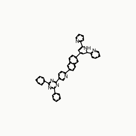 C1=C(c2ccc3cc(-c4ccc(-c5nc(-c6ccccc6)nc(-c6ccccc6)n5)cn4)ccc3c2)C=C(c2ccccn2)NC1c1ccccn1